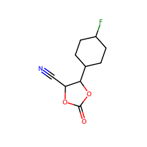 N#CC1OC(=O)OC1C1CCC(F)CC1